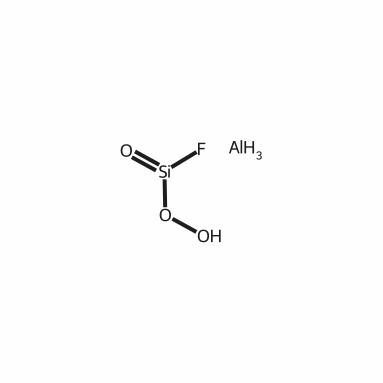 O=[Si](F)OO.[AlH3]